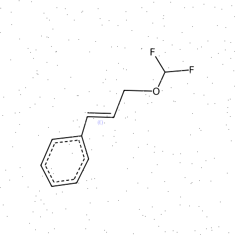 FC(F)OC/C=C/c1ccccc1